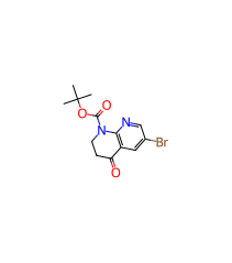 CC(C)(C)OC(=O)N1CCC(=O)c2cc(Br)cnc21